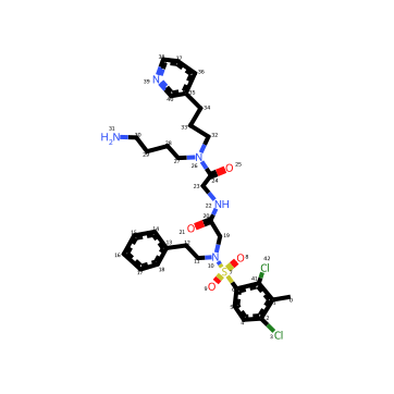 Cc1c(Cl)ccc(S(=O)(=O)N(CCc2ccccc2)CC(=O)NCC(=O)N(CCCCN)CCCc2cccnc2)c1Cl